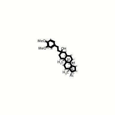 COc1ccc(CCC2(O)CC[C@@]3(C)C(CC[C@H]4[C@@H]5CC[C@H](C(C)=O)[C@@]5(C)CC[C@@H]43)C2)cc1OC